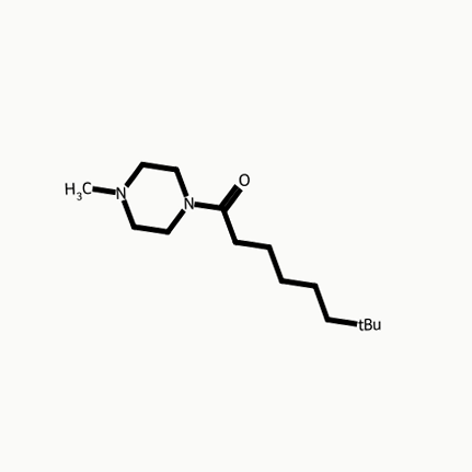 CN1CCN(C(=O)CCCCCC(C)(C)C)CC1